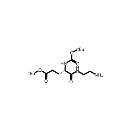 CC(C)(C)OC(=O)CC[C@H](NC(=O)OC(C)(C)C)C(=O)NCCN